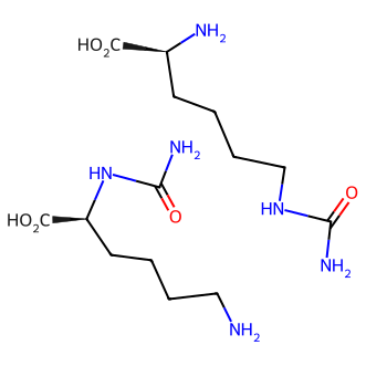 NC(=O)NCCCC[C@H](N)C(=O)O.NCCCC[C@H](NC(N)=O)C(=O)O